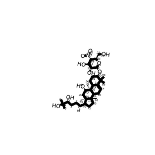 C[C@H](CC[C@@H](O)C(C)(C)O)C1CC[C@@]2(C)C3CC=C4C(CC[C@H](O[C@@H]5O[C@H](CO)[C@@H]([N+](=O)[O-])[C@H](O)[C@H]5O)C4(C)C)[C@]3(C)[C@H](O)C[C@]12C